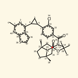 Cc1nc(C2CC2c2ccc(C(=O)N(C)C3C[C@]4(C)CC[C@](C)(C3)N4C(=O)OC(C)(C)C)cc2Cl)c2ccsc2n1